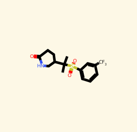 CC(C)(C1CCC(=O)NC1)S(=O)(=O)c1cccc(C(F)(F)F)c1